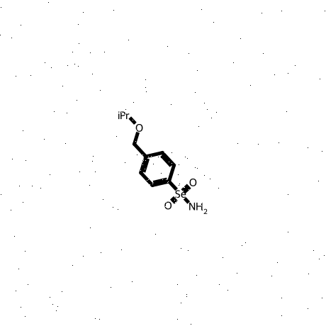 CC(C)OCc1ccc([Se](N)(=O)=O)cc1